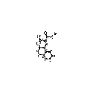 O=C(CBr)c1cc2c(ccc3ccccc32)oc1=O